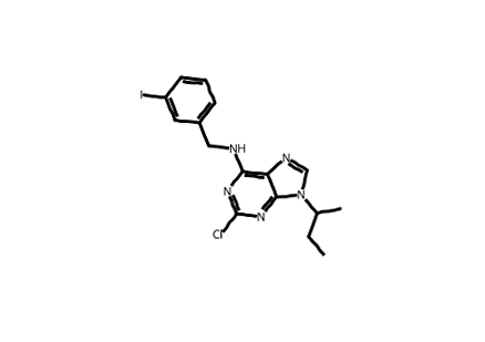 CCC(C)n1cnc2c(NCc3cccc(I)c3)nc(Cl)nc21